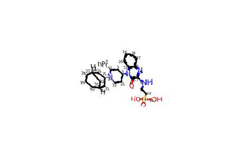 CCC[C@H]1C[C@@H](n2c(=O)c(NCCP(=O)(O)O)nc3ccccc32)CCN1[C@H]1C[C@@H]2CCC[C@@H](C2)C1